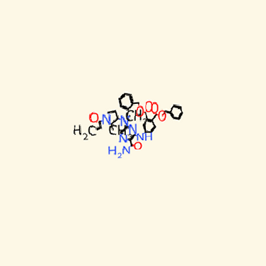 C=CC(=O)N1CC[C@@H](N(C)c2cnc(C(N)=O)c(Nc3ccc(C(=O)OCc4ccccc4)c(C(=O)OCc4ccccc4)c3)n2)[C@H]1C